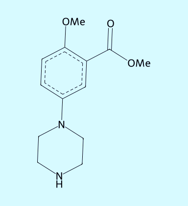 COC(=O)c1cc(N2CCNCC2)ccc1OC